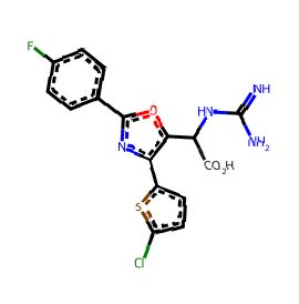 N=C(N)NC(C(=O)O)c1oc(-c2ccc(F)cc2)nc1-c1ccc(Cl)s1